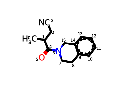 CC(CC#N)C(=O)N1CCc2ccccc2C1